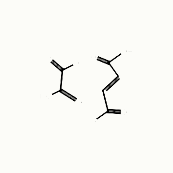 O=C(O)/C=C/C(=O)O.O=C(O)C(=O)O